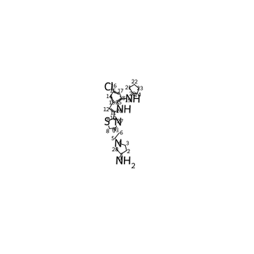 NC1CCN(CC[C@@H]2CSC(c3cc4cc(Cl)cc(NC5CCCC5)c4[nH]3)=N2)C1